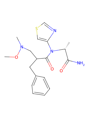 CON(C)CC(Cc1ccccc1)C(=O)N(c1cscn1)[C@H](C)C(N)=O